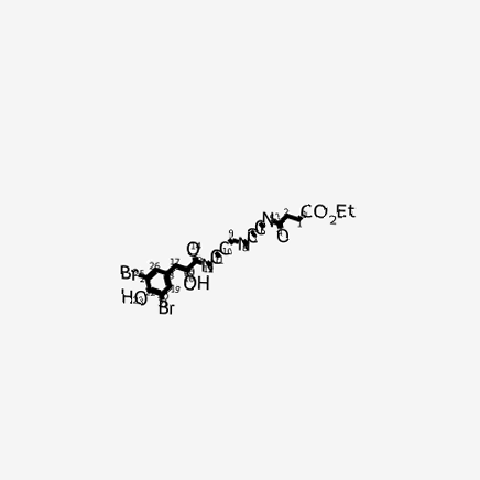 CCOC(=O)CCC(=O)N=C=C=NC=C=C=NC(=O)[C@H](O)Cc1cc(Br)c(O)c(Br)c1